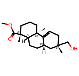 COC(=O)[C@]1(C)CCC[C@@]2(C)C3=CC[C@](C)(CO)C[C@@H]3CC[C@H]12